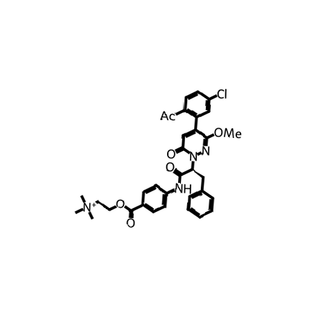 COc1nn([C@@H](Cc2ccccc2)C(=O)Nc2ccc(C(=O)OCC[N+](C)(C)C)cc2)c(=O)cc1-c1cc(Cl)ccc1C(C)=O